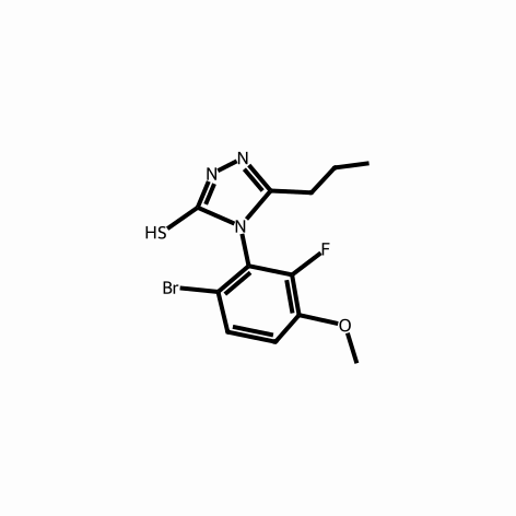 CCCc1nnc(S)n1-c1c(Br)ccc(OC)c1F